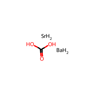 O=C(O)O.[BaH2].[SrH2]